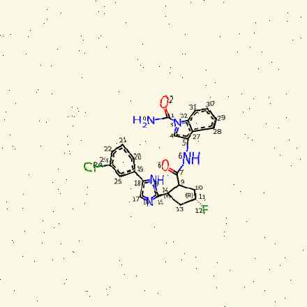 NC(=O)n1cc(NC(=O)C2C[C@H](F)C[C@H]2c2ncc(-c3cccc(Cl)c3)[nH]2)c2ccccc21